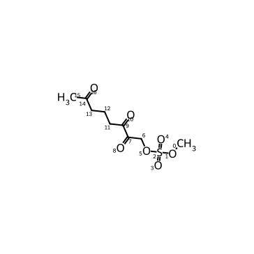 COS(=O)(=O)OCC(=O)C(=O)CCCC(C)=O